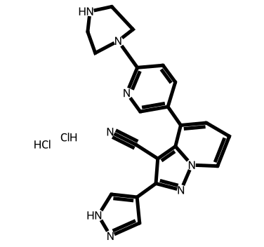 Cl.Cl.N#Cc1c(-c2cn[nH]c2)nn2cccc(-c3ccc(N4CCNCC4)nc3)c12